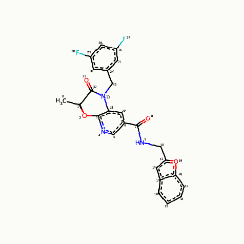 CC1Oc2ncc(C(=O)NCc3cc4ccccc4o3)cc2N(Cc2cc(F)cc(F)c2)C1=O